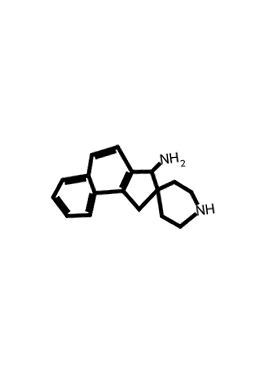 NC1c2ccc3ccccc3c2CC12CCNCC2